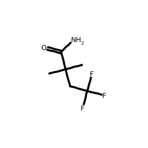 CC(C)(CC(F)(F)F)C(N)=O